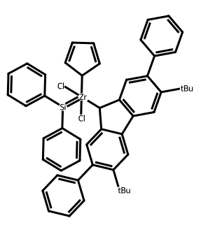 CC(C)(C)c1cc2c(cc1-c1ccccc1)[CH]([Zr]([Cl])([Cl])([CH]1C=CC=C1)=[Si](c1ccccc1)c1ccccc1)c1cc(-c3ccccc3)c(C(C)(C)C)cc1-2